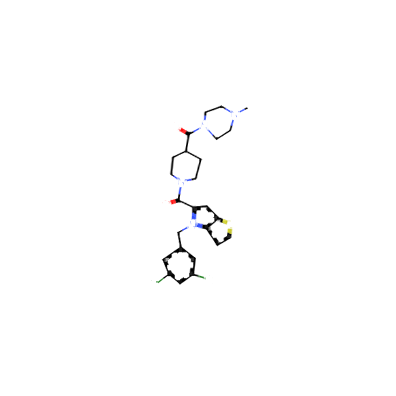 CN1CCN(C(=O)C2CCN(C(=O)c3cc4sccc4n3Cc3cc(Cl)cc(Cl)c3)CC2)CC1